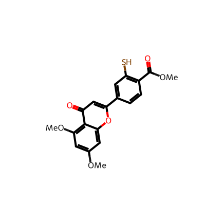 COC(=O)c1ccc(-c2cc(=O)c3c(OC)cc(OC)cc3o2)cc1S